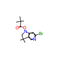 CC(C)(C)C(=O)ON1CC(C)(C)c2cnc(Br)cc21